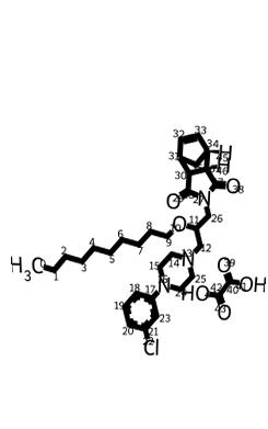 CCCCCCCCCCOC(CN1CCN(c2cccc(Cl)c2)CC1)CN1C(=O)C2C3C=C[C@@H](C3)[C@@H]2C1=O.O=C(O)C(=O)O